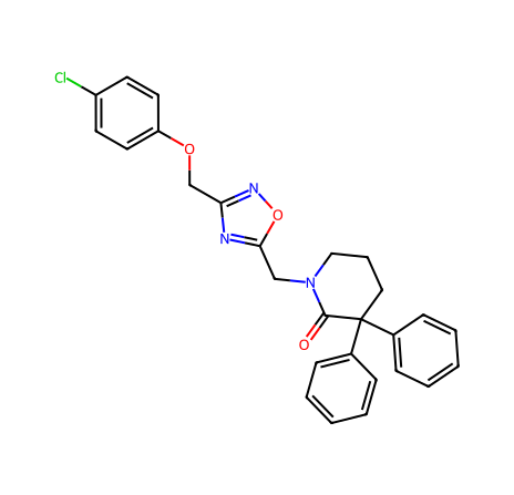 O=C1N(Cc2nc(COc3ccc(Cl)cc3)no2)CCCC1(c1ccccc1)c1ccccc1